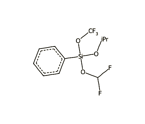 CC(C)O[Si](OC(F)F)(OC(F)(F)F)c1ccccc1